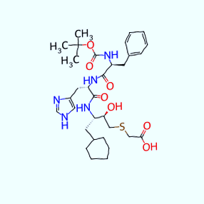 CC(C)(C)OC(=O)N[C@@H](Cc1ccccc1)C(=O)N[C@@H](Cc1c[nH]cn1)C(=O)N[C@@H](CC1CCCCC1)[C@@H](O)CSCC(=O)O